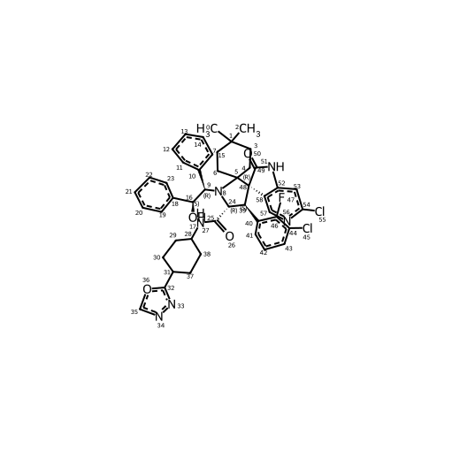 CC1(C)CCC2(CC1)N([C@H](c1ccccc1)[C@@H](O)c1ccccc1)[C@@H](C(=O)NC1CCC(c3nnco3)CC1)[C@H](c1cccc(Cl)c1F)[C@]21C(=O)Nc2cc(Cl)ncc21